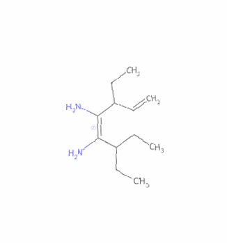 C=CC(CC)/C(N)=C(/N)C(CC)CC